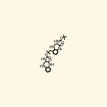 CN1C(=O)[C@@H](NC(=O)OC(C)(C)C)CNc2c(CC(C)(C)OC(=O)NC3CNc4ccccc4NC3=O)cccc21